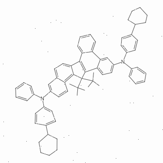 CC(C)(C)C1(C(C)(C)C)c2c(ccc3cc(N(c4ccccc4)c4ccc(C5CCCCC5)cc4)ccc23)-c2c1c1ccc(N(c3ccccc3)c3ccc(C4CCCCC4)cc3)cc1c1ccccc21